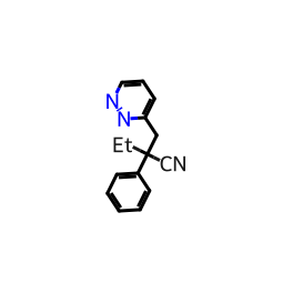 CCC(C#N)(Cc1cccnn1)c1ccccc1